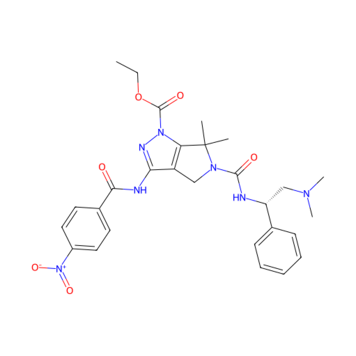 CCOC(=O)n1nc(NC(=O)c2ccc([N+](=O)[O-])cc2)c2c1C(C)(C)N(C(=O)N[C@H](CN(C)C)c1ccccc1)C2